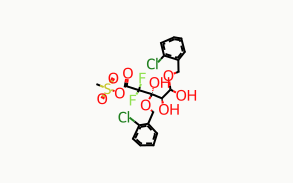 CS(=O)(=O)OC(=O)C(F)(F)[C@](O)(OCc1ccccc1Cl)[C@H](O)C(O)OCc1ccccc1Cl